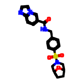 O=C(NCc1ccc(S(=O)(=O)N2CC3CCC(C2)O3)cc1)c1ccc2nccn2c1